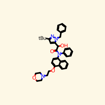 CC(C)(C)c1cc(C(O)C(=O)N(c2ccccc2)c2ccc(OCCN3CCOCC3)c3ccccc23)n(Cc2ccccc2)n1